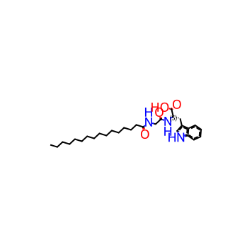 CCCCCCCCCCCCCCCC(=O)NCC(=O)N[C@@H](Cc1c[nH]c2ccccc12)C(=O)O